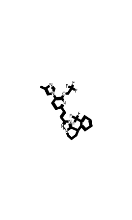 Cc1cn(-c2ccc(C=Cc3nc4n(n3)CCCC4c3ccccc3C(F)(F)F)nc2OCC(F)(F)F)cn1